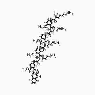 COc1ccc(NC(=O)[C@H](CCCCCN)NC(=O)c2cc(NC(=O)[C@H](CCCCN)NC(=O)c3cc(NC(=O)[C@H](CCCCN)NC(=O)c4cc(NC(=O)[C@@H](N)CCCCCN)ccc4OC)ccc3OC)ccc2OC)cc1C(=O)N[C@@H](Cc1ccccc1)C(=O)O